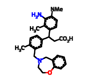 CNc1ccc(C(CC(=O)O)c2ccc(C)c(CN3CCOc4ccccc4C3)c2)c(C)c1N